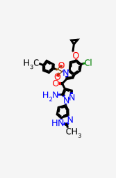 Cc1ccc(S(=O)(=O)n2c(C(=O)c3cnn(-c4ccc5[nH]c(C)nc5c4)c3N)cc3cc(Cl)c(OCC4CC4)cc32)cc1